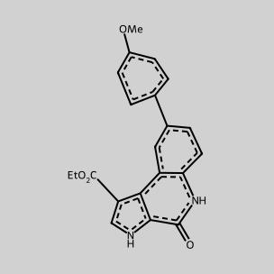 CCOC(=O)c1c[nH]c2c(=O)[nH]c3ccc(-c4ccc(OC)cc4)cc3c12